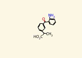 CC(C(=O)O)c1cccc(C(=O)c2ccccc2N)c1